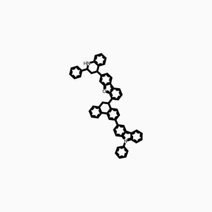 c1ccc(C2CC(c3ccc4c(c3)oc3c(C5Cc6ccccc6-c6cc(-c7ccc8c(c7)c7ccccc7n8-c7ccccc7)ccc65)cccc34)c3ccccc3N2)cc1